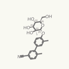 Cc1cc(-c2cc(C#N)ccc2C)ccc1O[C@H]1O[C@H](CO)[C@@H](O)[C@H](O)[C@]1(C)O